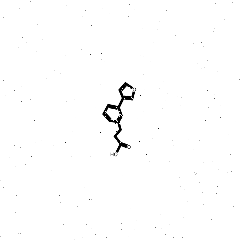 O=C(O)CCc1cccc(-c2ccoc2)c1